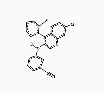 N#Cc1cccc([S+]([O-])c2cnc3cc(Cl)ccc3c2-c2ccccc2F)c1